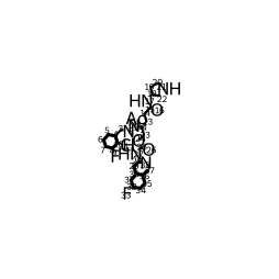 CC(=O)N(NCc1cccc(F)c1Cl)[C@@H](CCC(=O)NC1CCNC1)COC(=O)Nc1cc2cc(F)ccc2cn1